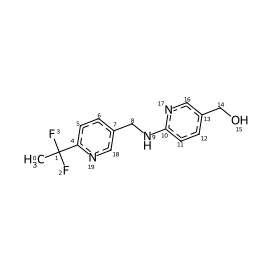 CC(F)(F)c1ccc(CNc2ccc(CO)cn2)cn1